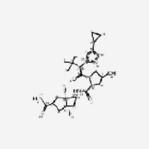 CC(C)(C)[C@H](C(=O)N1CC(O)CC1C(=O)N[C@@H]1C[C@H]2CC(C(N)=O)C[C@H]21)n1cc(C2CC2)nn1